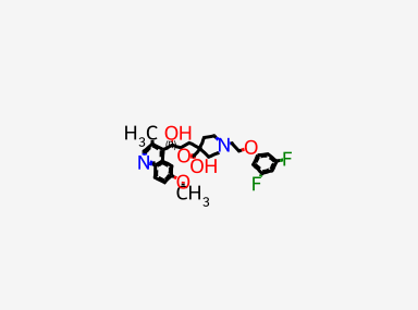 COc1ccc2ncc(C)c([C@H](O)CCC3(C(=O)O)CCN(CCOc4cc(F)cc(F)c4)CC3)c2c1